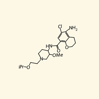 COC1CN(CCOC(C)C)CCC1NC(=O)c1cc(Cl)c(N)c2c1OCCC2